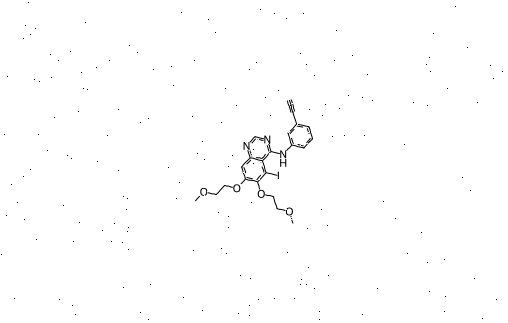 C#Cc1cccc(Nc2ncnc3cc(OCCOC)c(OCCOC)c(I)c23)c1